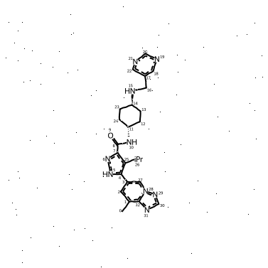 Cc1cc(-c2[nH]nc(C(=O)N[C@H]3CC[C@H](NCc4cncnc4)CC3)c2C(C)C)cn2ncnc12